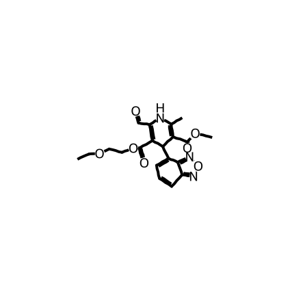 CCOCCOC(=O)C1=C(C=O)NC(C)=C(C(=O)OC)C1c1cccc2nonc12